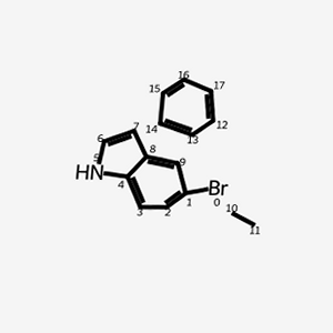 Brc1ccc2[nH]ccc2c1.CC.c1ccccc1